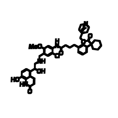 COc1cc(NC(=O)CCCc2cccc(C3(C(=O)OCC45CCN(CC4)CC5)CCCCC3)c2)c(Cl)cc1CNCC(O)c1ccc(O)c2[nH]c(=O)ccc12